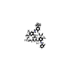 CCN(CC)c1cc(Nc2nc(Nc3cc(N(CC)CC)c(OC)cc3/N=N/c3cc(S(=O)(=O)O)ccc3C)nc(SCCO)n2)c(/N=N/c2ccccc2C)cc1OC